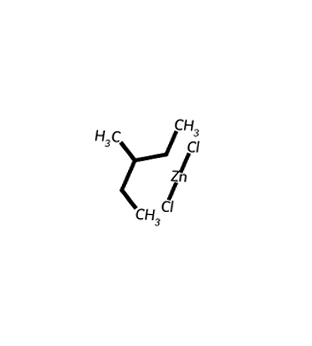 CCC(C)CC.[Cl][Zn][Cl]